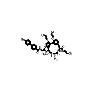 CCCCc1ccc(-c2ccc(C(=O)NCC(=O)N(C)C3C(=O)N[C@@H](C)C(=O)NC(C(=O)NCCC#N)Cc4ccc(OCCN)c(c4)-c4cc3ccc4OCCN)cc2)cc1